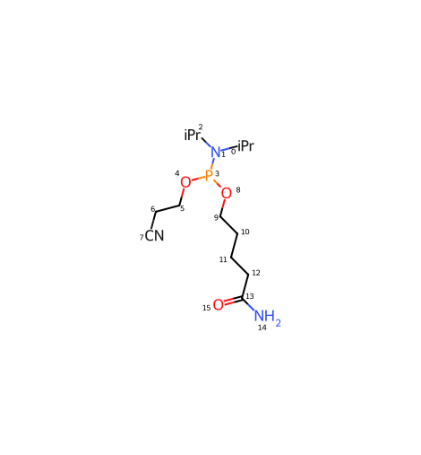 CC(C)N(C(C)C)P(OCCC#N)OCCCCC(N)=O